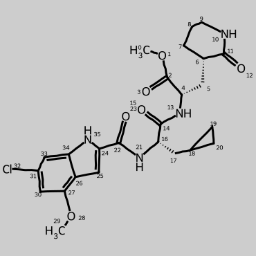 COC(=O)[C@H](C[C@@H]1CCCNC1=O)NC(=O)[C@H](CC1CC1)NC(=O)c1cc2c(OC)cc(Cl)cc2[nH]1